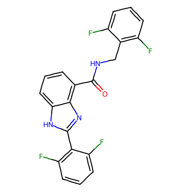 O=C(NCc1c(F)cccc1F)c1cccc2[nH]c(-c3c(F)cccc3F)nc12